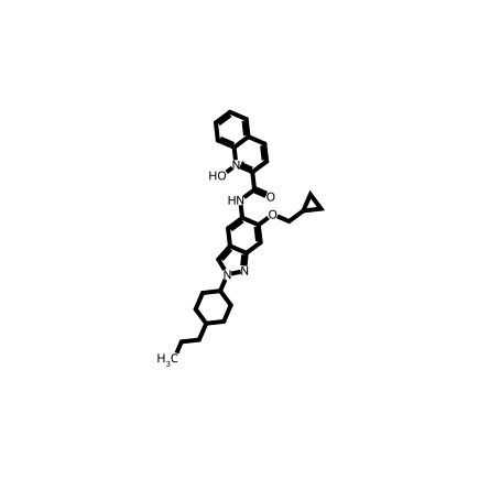 CCCC1CCC(n2cc3cc(NC(=O)c4ccc5ccccc5[n+]4O)c(OCC4CC4)cc3n2)CC1